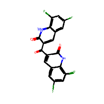 O=C(c1cc2cc(F)cc(F)c2[nH]c1=O)c1cc2cc(F)cc(F)c2[nH]c1=O